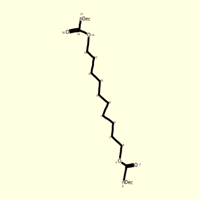 CCCCCCCCCCC(=O)OCCCCCCCCCCOC(=O)CCCCCCCCCC